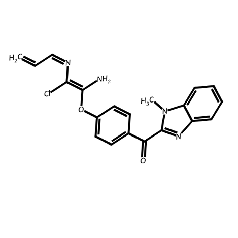 C=C/C=N\C(Cl)=C(/N)Oc1ccc(C(=O)c2nc3ccccc3n2C)cc1